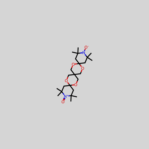 CC1(C)CC2(CC(C)(C)N1[O-])OCC1(CO2)COC2(CC(C)(C)[N+](=O)C(C)(C)C2)OC1